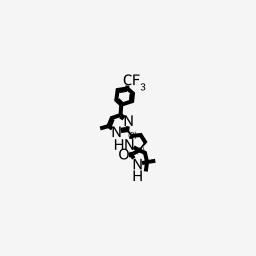 Cc1cc(-c2ccc(C(F)(F)F)cc2)nc([C@H]2CC[C@]3(CC(C)(C)NC3=O)N2)n1